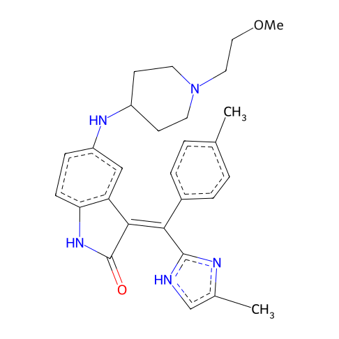 COCCN1CCC(Nc2ccc3c(c2)/C(=C(\c2ccc(C)cc2)c2nc(C)c[nH]2)C(=O)N3)CC1